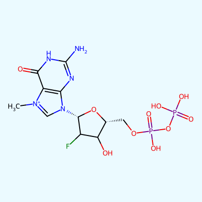 C[n+]1cn([C@@H]2O[C@H](COP(=O)(O)OP(=O)(O)O)C(O)C2F)c2nc(N)[nH]c(=O)c21